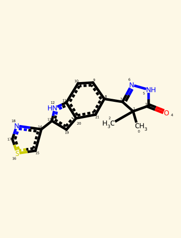 CC1(C)C(=O)NN=C1c1ccc2[nH]c(-c3cscn3)cc2c1